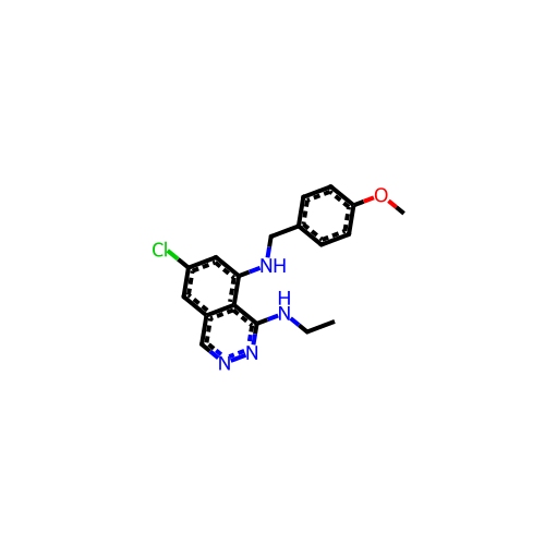 CCNc1nncc2cc(Cl)cc(NCc3ccc(OC)cc3)c12